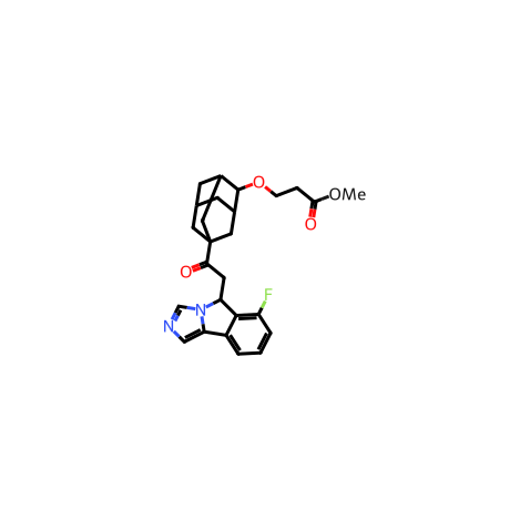 COC(=O)CCOC1C2CC3CC1CC(C(=O)CC1c4c(F)cccc4-c4cncn41)(C3)C2